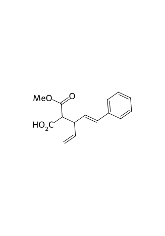 C=CC(/C=C/c1ccccc1)C(C(=O)O)C(=O)OC